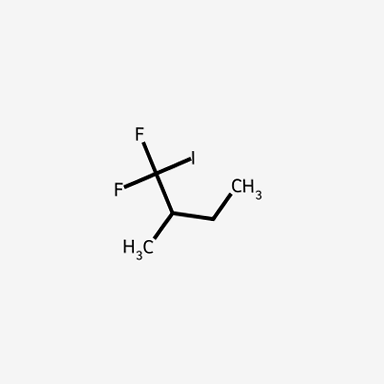 CCC(C)C(F)(F)I